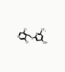 Oc1cc(SCc2c(Cl)cncc2Cl)nc(C(F)(F)F)c1